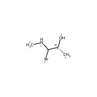 CNC(Br)[C@@H](C)O